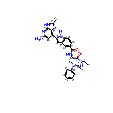 CCNC(=O)[C@H](CN(CC)c1ccccc1)NC(=O)c1ccc2[nH]c(-c3cc(N)nc4[nH]c(C)nc34)cc2c1